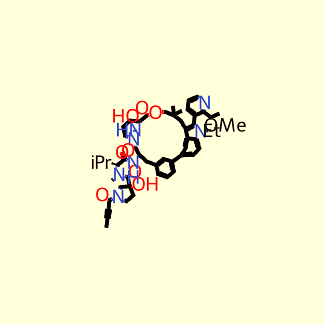 CC#CC(=O)N1CCC(O)(C(=O)N(C)[C@H](C(=O)N[C@H]2Cc3cccc(c3)-c3ccc4c(c3)c(c(-c3cccnc3[C@H](C)OC)n4CC)CC(C)(C)COC(=O)[C@@]3(O)CCCN(N3)C2=O)C(C)C)C1